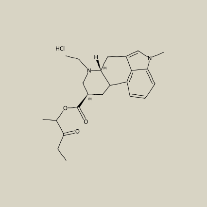 CCC(=O)C(C)OC(=O)[C@@H]1CC2c3cccc4c3c(cn4C)C[C@H]2N(CC)C1.Cl